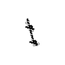 CCCc1c(OCCCOCCCOc2c(C(C)=O)ccc(OCC(=O)OCC)c2CCC)ccc(C(C)=O)c1O